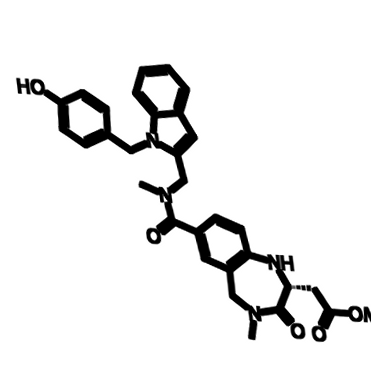 COC(=O)C[C@H]1Nc2ccc(C(=O)N(C)Cc3cc4ccccc4n3Cc3ccc(O)cc3)cc2CN(C)C1=O